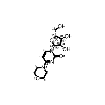 O=c1nc(N2CCOCC2)ccn1[C@@H]1O[C@H](CO)[C@@H](O)[C@H]1O